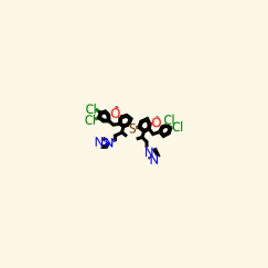 COc1ccc(Sc2ccc(OC)c(Cc3ccc(Cl)c(Cl)c3)c2C(C)CCn2ccnc2)c(C(C)CCn2ccnc2)c1Cc1ccc(Cl)c(Cl)c1